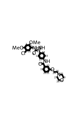 COc1cc(OC)c(NC(=O)N(S)c2ccc(NC(=O)c3cccc(OCCN4CCOCC4)c3)cc2)cc1Cl